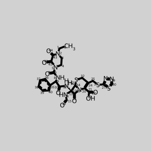 CCN1CCN(C(=O)NC(C(=O)N[C@]2(NC=O)C(=O)N3C(C(=O)O)=C(CSc4nncs4)CS[C@@H]32)c2ccccc2)C(=O)C1=O